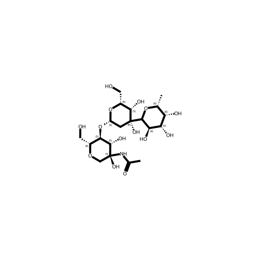 CC(=O)N[C@]1(O)[CH]O[C@H](CO)[C@@H](O[C@H]2C[C@](O)(C3O[C@H](C)[C@H](O)[C@H](O)[C@H]3O)[C@@H](O)[C@@H](CO)O2)[C@@H]1O